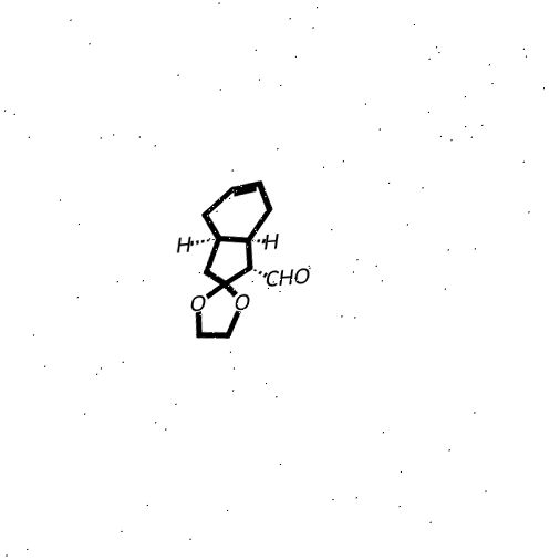 O=C[C@H]1[C@@H]2CC=CC[C@@H]2CC12OCCO2